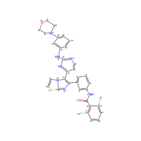 O=C(Nc1cccc(-c2nc3sccn3c2-c2ccnc(Nc3cccc(N4CCOCC4)c3)n2)c1)c1c(F)cccc1F